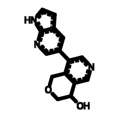 OC1COCc2c(-c3cnc4[nH]ccc4c3)cncc21